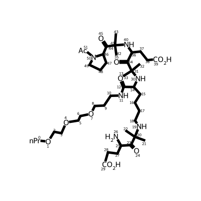 CCCOCCOCCOCCCNC(=O)C(CCCCNC(C)(C)C(=O)C(N)CCC(=O)O)NC(C)(C)C(=O)C(CCC(=O)O)NC(C)(C)C(=O)C1CCCN1C(C)=O